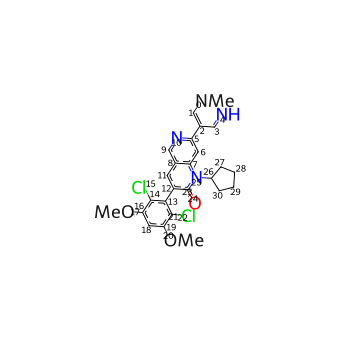 CN/C=C(\C=N)c1cc2c(cn1)cc(-c1c(Cl)c(OC)cc(OC)c1Cl)c(=O)n2C1CCCC1